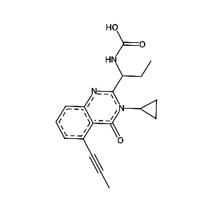 CC#Cc1cccc2nc(C(CC)NC(=O)O)n(C3CC3)c(=O)c12